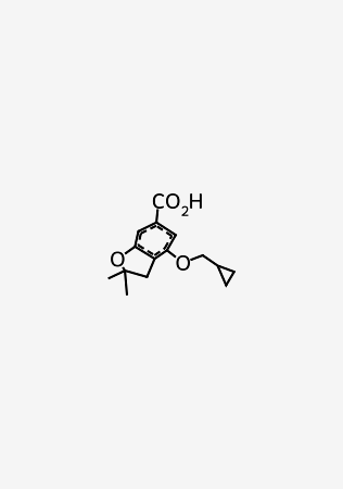 CC1(C)Cc2c(OCC3CC3)cc(C(=O)O)cc2O1